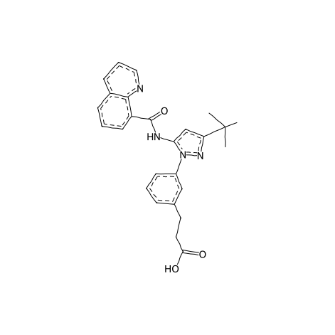 CC(C)(C)c1cc(NC(=O)c2cccc3cccnc23)n(-c2cccc(CCC(=O)O)c2)n1